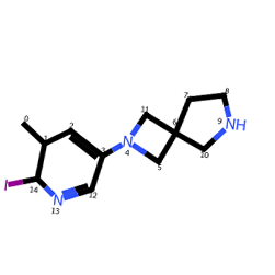 CC1C=C(N2CC3(CCNC3)C2)C=NC1I